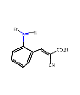 CCOC(=O)C(C#N)=Cc1ccccc1N(CC)CC